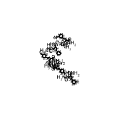 CCc1ccc(-c2cc(C(N)=O)c(NC(N)=O)s2)cc1.CNC(=O)Nc1sc(-c2ccccc2)cc1C(=O)NC.CNC(=O)c1cc(-c2ccc(F)cc2)sc1NC(N)=O.N#Cc1cccc(-c2cc(C(N)=O)c(NC(N)=O)s2)c1.NC(=O)Nc1sc(-c2cccc(F)c2)cc1C(N)=O